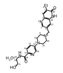 CCc1cc2ncc(CN3CCN(c4ccc(C(=O)N[C@@H](C)CO)nc4)CC3)cc2[nH]c1=O